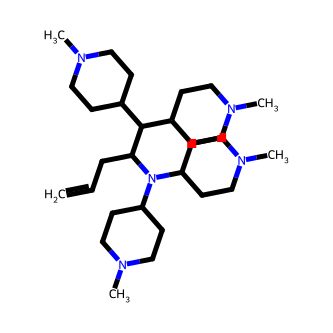 C=CCC(C(C1CCN(C)CC1)C1CCN(C)CC1)N(C1CCN(C)CC1)C1CCN(C)CC1